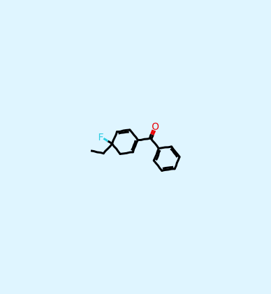 CCC1(F)C=CC(C(=O)c2ccccc2)=CC1